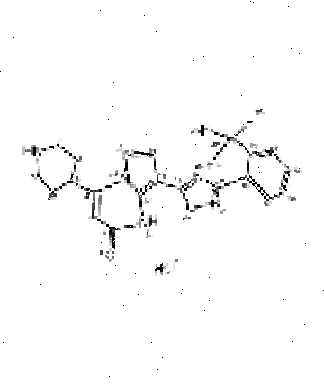 Cl.O=c1cc(C2CCNCC2)n2ncc(-c3nc(-c4ccccc4C(F)(F)F)no3)c2[nH]1